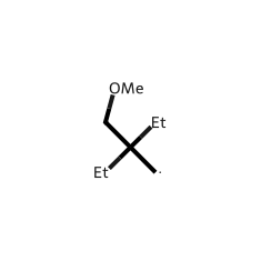 [CH2]C(CC)(CC)COC